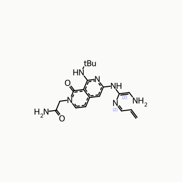 C=C/C=N\C(=C/N)Nc1cc2ccn(CC(N)=O)c(=O)c2c(NC(C)(C)C)n1